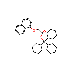 O=C(COc1cccc2ccccc12)[O][Sn]([CH]1CCCCC1)([CH]1CCCCC1)[CH]1CCCCC1